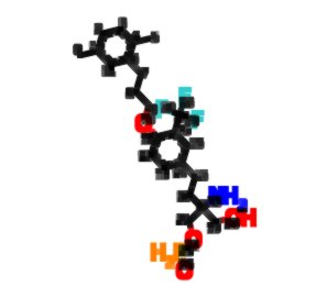 Cc1ccc(C)c(CCCOc2ccc(CCC(N)(CO)CO[PH2]=O)cc2C(F)(F)F)c1